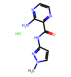 Cl.Cn1ccc(NC(=O)c2nccnc2N)n1